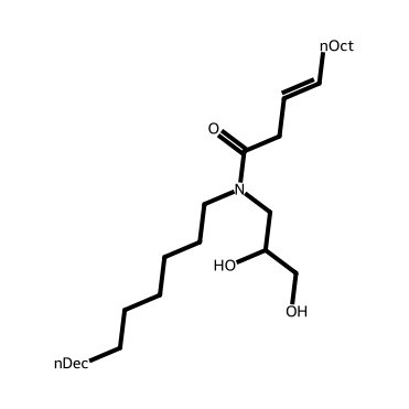 CCCCCCCCC=CCC(=O)N(CCCCCCCCCCCCCCCC)CC(O)CO